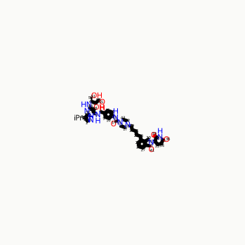 CC(C)c1cnn2c(NCc3ccc(NC(=O)N4CCN(CCCCCc5cccc6c5CN(C5CCC(=O)NC5=O)C6=O)CC4)cc3)cc(N[C@@H](CO)[C@H](O)CO)nc12